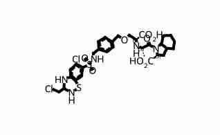 C[C@H](N[C@@H](COCc1ccc(CNS(=O)(=O)c2cc3c(cc2Cl)NC(CCl)NS3)cc1)C(=O)O)C(=O)N1C2CCCCC2C[C@H]1C(=O)O